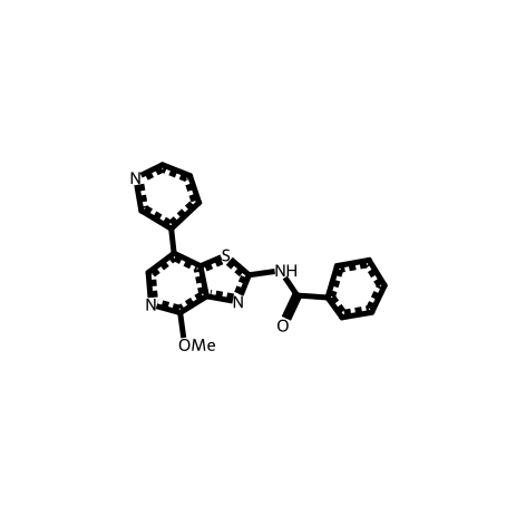 COc1ncc(-c2cccnc2)c2sc(NC(=O)c3ccccc3)nc12